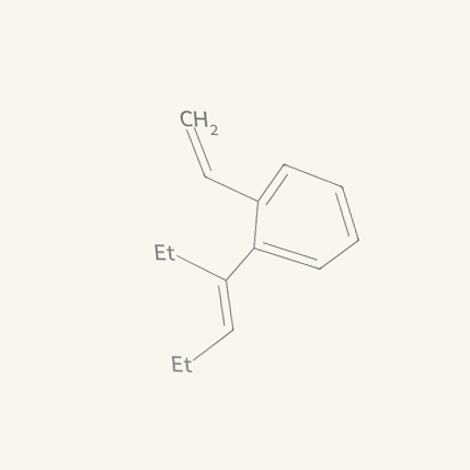 C=Cc1ccccc1/C(=C/CC)CC